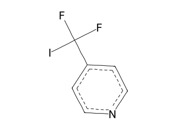 FC(F)(I)c1ccncc1